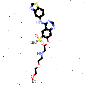 [CH2]COCCOCCNCCOc1cc2ncnc(Nc3ccc4scnc4c3)c2cc1S(=O)(=O)C(C)(C)C